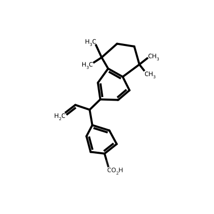 C=CC(c1ccc(C(=O)O)cc1)c1ccc2c(c1)C(C)(C)CCC2(C)C